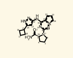 NC(=O)[C@@H]1CCCN1c1nc(Nc2cc(C3CCC3)[nH]n2)c2cccn2n1